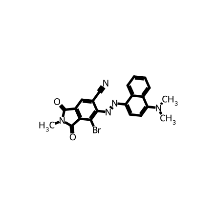 CN1C(=O)c2cc(C#N)c(/N=N/c3ccc(N(C)C)c4ccccc34)c(Br)c2C1=O